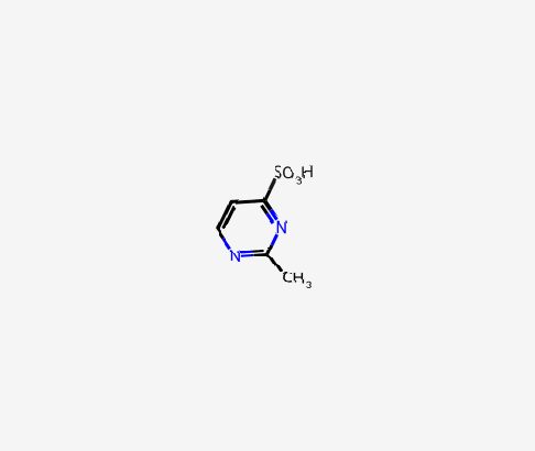 Cc1nccc(S(=O)(=O)O)n1